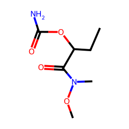 CCC(OC(N)=O)C(=O)N(C)OC